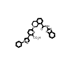 O=C(Nc1nc2ccccc2s1)c1cccc2c1CN(c1ccc(-c3cnn(-c4ccccc4)c3)c(C(=O)O)n1)CC2